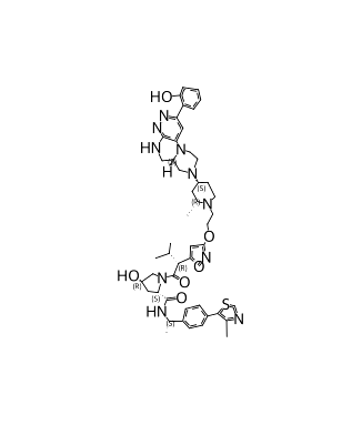 Cc1ncsc1-c1ccc([C@H](C)NC(=O)[C@@H]2C[C@@H](O)CN2C(=O)[C@@H](c2cc(OCCN3CC[C@H](N4CCN5c6cc(-c7ccccc7O)nnc6NC[C@H]5C4)C[C@H]3C)no2)C(C)C)cc1